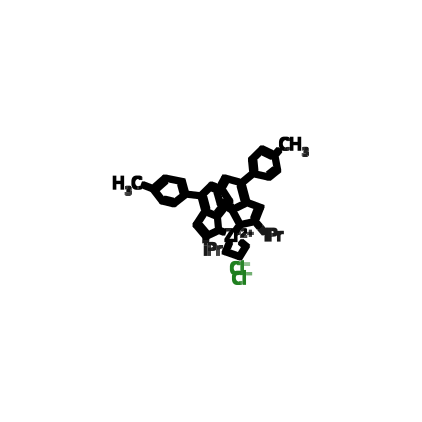 Cc1ccc(-c2cccc3c2C=C(C(C)C)[CH]3[Zr+2]2([CH]3C(C(C)C)=Cc4c(-c5ccc(C)cc5)cccc43)[CH2]C[CH2]2)cc1.[Cl-].[Cl-]